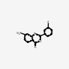 O=c1oc(-c2cccc(F)c2)nc2cc([N+](=O)[O-])ccc12